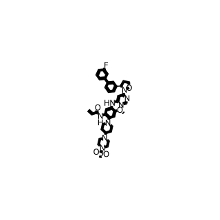 C=CC(=O)Nc1cc(Nc2cc(N3OCC[C@@H]3c3cccc(-c4cccc(F)c4)c3)ncn2)c(OC)cc1N1CCC(N2CCN(S(C)(=O)=O)CC2)CC1